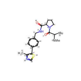 CNC(C(=O)N1CCCC1C(=O)NCc1ccc(-c2scnc2C)cc1)C(C)(C)C